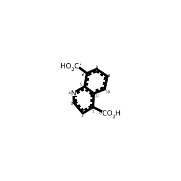 O=C(O)c1ccnc2c(C(=O)O)cccc12